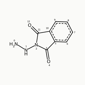 NNN1C(=O)c2ccccc2C1=O